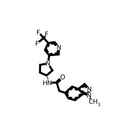 Cn1ncc2cc(CC(=O)N[C@@H]3CCN(c4cncc(C(F)(F)F)c4)C3)ccc21